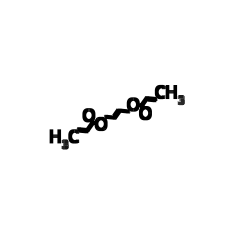 CC=CC(=O)OCC=CCOC(=O)C=CC